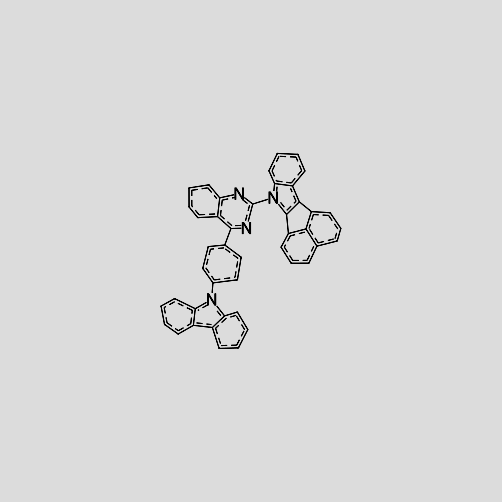 c1cc2c3c(cccc3c1)-c1c-2c2ccccc2n1-c1nc(-c2ccc(-n3c4ccccc4c4ccccc43)cc2)c2ccccc2n1